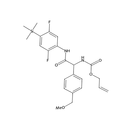 C=CCOC(=O)NC(C(=O)Nc1cc(F)c([Si](C)(C)C)cc1F)c1ccc(COC)cc1